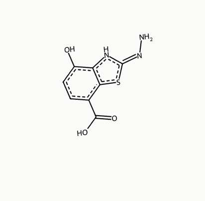 N/N=c1\[nH]c2c(O)ccc(C(=O)O)c2s1